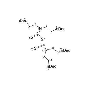 CCCCCCCCCCCCN(CCCCCCCCCCCC)C(=S)SC(=S)N(CCCCCCCCCCCC)CCCCCCCCCCCC